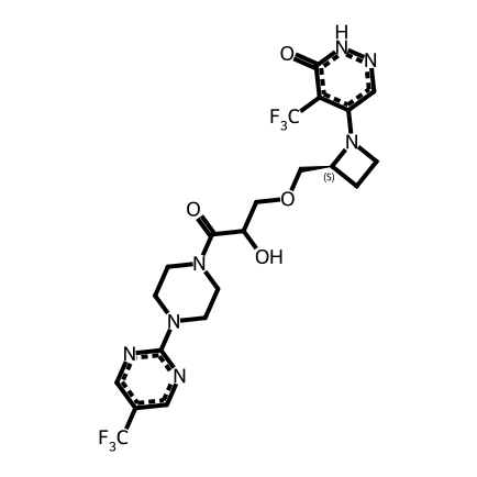 O=C(C(O)COC[C@@H]1CCN1c1cn[nH]c(=O)c1C(F)(F)F)N1CCN(c2ncc(C(F)(F)F)cn2)CC1